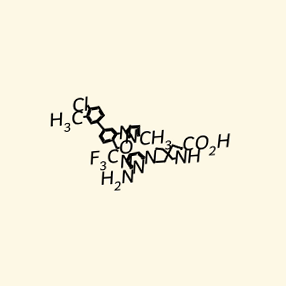 Cc1ccn(-c2cc(-c3ccc(Cl)c(C)c3)ccc2C(Oc2cc(N3CCC4(CC3)CNC(C(=O)O)C4)nc(N)n2)C(F)(F)F)n1